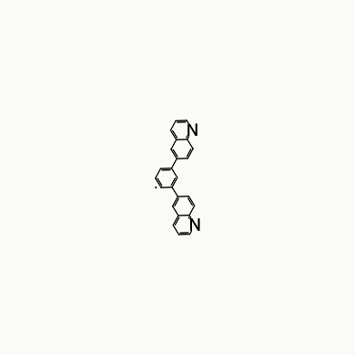 [c]1ccc(-c2ccc3ncccc3c2)cc1-c1ccc2ncccc2c1